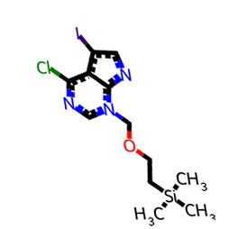 C[Si](C)(C)CCOCn1cnc(Cl)c2c(I)cnc1-2